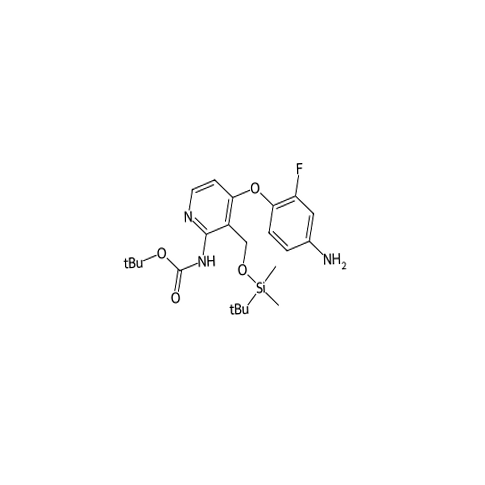 CC(C)(C)OC(=O)Nc1nccc(Oc2ccc(N)cc2F)c1CO[Si](C)(C)C(C)(C)C